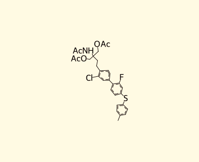 CC(=O)NC(CCc1ccc(-c2ccc(Sc3ccc(C)cc3)cc2F)cc1Cl)(COC(C)=O)COC(C)=O